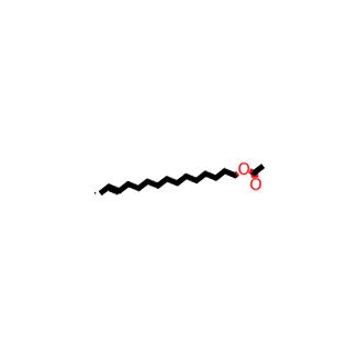 [CH2]C=CCCCCCCCCCCCCOC(C)=O